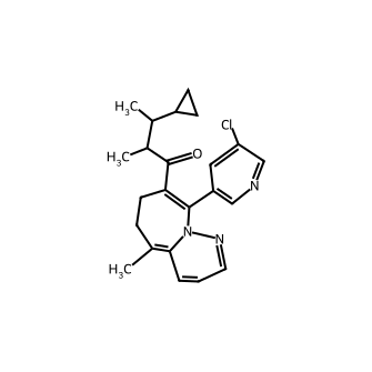 CC1=C2C=CC=NN2C(c2cncc(Cl)c2)=C(C(=O)C(C)C(C)C2CC2)CC1